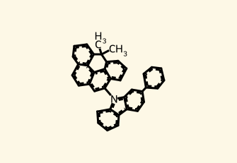 CC1(C)c2cccc3ccc4cc(-n5c6ccccc6c6ccc(-c7ccccc7)cc65)c5cccc1c5c4c23